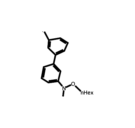 [CH2]c1cccc(-c2cccc(N(C)OCCCCCC)c2)c1